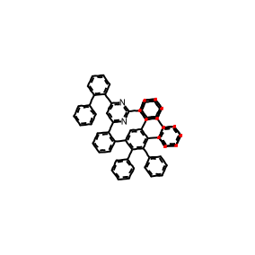 c1ccc(-c2cccc(-c3nc(-c4ccccc4-c4ccccc4)cc(-c4ccccc4-c4cc(-c5ccccc5)c(-c5ccccc5)c(-c5ccccc5)c4-c4ccccc4)n3)c2)cc1